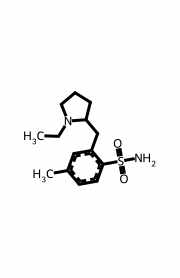 CCN1CCCC1Cc1cc(C)ccc1S(N)(=O)=O